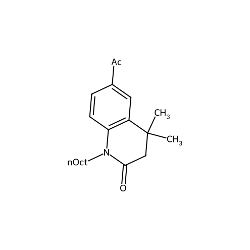 CCCCCCCCN1C(=O)CC(C)(C)c2cc(C(C)=O)ccc21